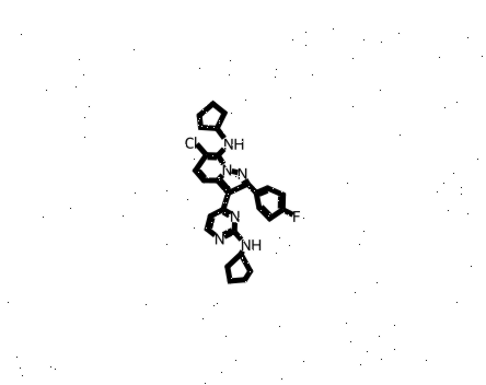 Fc1ccc(-c2nn3c(NC4CCCC4)c(Cl)ccc3c2-c2ccnc(NC3CCCC3)n2)cc1